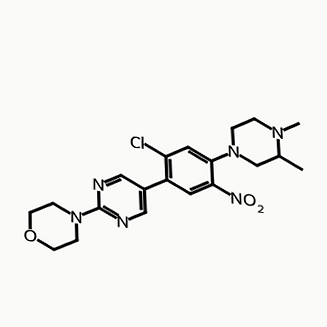 CC1CN(c2cc(Cl)c(-c3cnc(N4CCOCC4)nc3)cc2[N+](=O)[O-])CCN1C